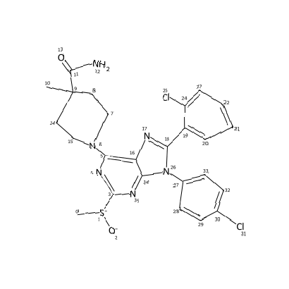 C[S+]([O-])c1nc(N2CCC(C)(C(N)=O)CC2)c2nc(-c3ccccc3Cl)n(-c3ccc(Cl)cc3)c2n1